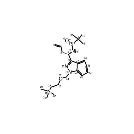 C=CC[C@H](N[S@@+]([O-])C(C)(C)C)c1nn(COCC[Si](C)(C)C)c2ccccc12